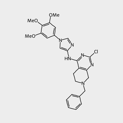 COc1cc(-n2cnc(Nc3nc(Cl)nc4c3CCN(Cc3ccccc3)C4)c2)cc(OC)c1OC